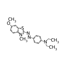 CCN(CC)c1ccc(/N=N/c2sc3cc(OC)ccc3[n+]2C)cc1